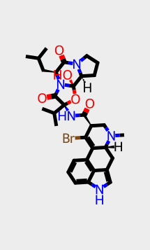 CC(C)C[C@H]1C(=O)N2CCC[C@H]2[C@]2(O)O[C@](NC(=O)[C@H]3CN(C)[C@@H]4Cc5c[nH]c6cccc(c56)C4=C3Br)(C(C)C)C(=O)N12